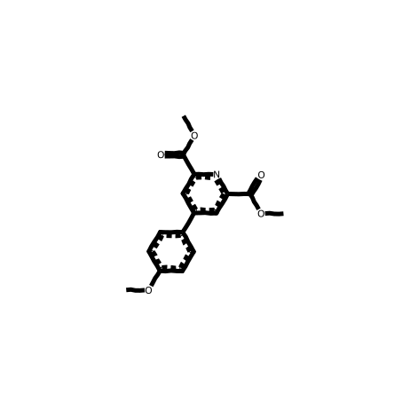 COC(=O)c1cc(-c2ccc(OC)cc2)cc(C(=O)OC)n1